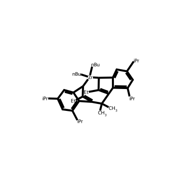 CCC[CH2][Zr]1([CH2]CCC)[CH]2C(CC)=C(c3c(C(C)C)cc(C(C)C)cc32)C(C)(C)C2=C(CC)[CH]1c1cc(C(C)C)cc(C(C)C)c12